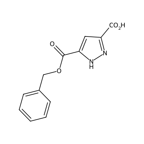 O=C(O)c1cc(C(=O)OCc2ccccc2)[nH]n1